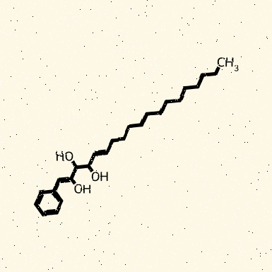 CCCCCCCCCCCCCC=CC(O)C(O)C(O)=Cc1ccccc1